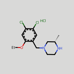 CCOc1cc(Cl)c(Cl)cc1CN1CCN[C@@H](C)C1.Cl